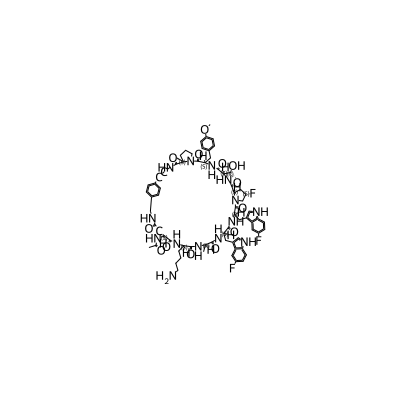 COc1ccc(C[C@@H]2NC(=O)[C@H]([C@@H](C)O)NC(=O)[C@@H]3C[C@H](F)CN3C(=O)[C@H](Cc3c[nH]c4ccc(F)cc34)NC(=O)[C@H](Cc3c[nH]c4ccc(F)cc34)NC(=O)[C@@H](C)NC(=O)[C@H](CCCCN)NC(=O)[C@@H](NC(C)=O)CC(=O)NCc3ccc(cc3)CCNC(=O)[C@]3(C)CCCN3C2=O)cc1